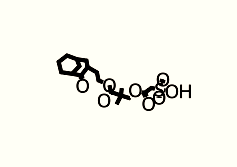 CC(C)(COC(=O)CS(=O)(=O)O)C(=O)OCCC1CC2CCCC(C2)C1=O